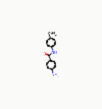 Nc1ccc(C(=O)Nc2ccc([AsH2])cc2)cc1